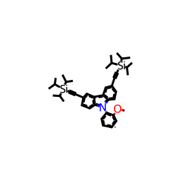 COc1c[c]ccc1-n1c2ccc(C#C[Si](C(C)C)(C(C)C)C(C)C)cc2c2cc(C#C[Si](C(C)C)(C(C)C)C(C)C)ccc21